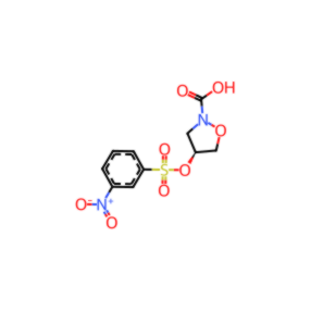 O=C(O)N1C[C@H](OS(=O)(=O)c2cccc([N+](=O)[O-])c2)CO1